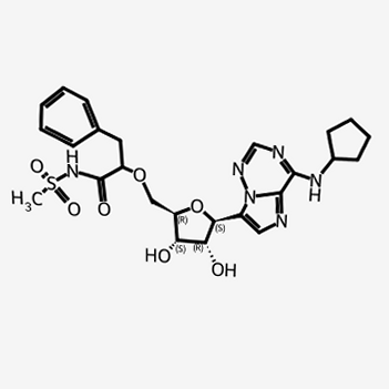 CS(=O)(=O)NC(=O)C(Cc1ccccc1)OC[C@H]1O[C@@H](c2cnc3c(NC4CCCC4)ncnn23)[C@H](O)[C@@H]1O